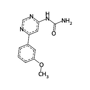 COc1cccc(-c2cc(NC(N)=O)ncn2)c1